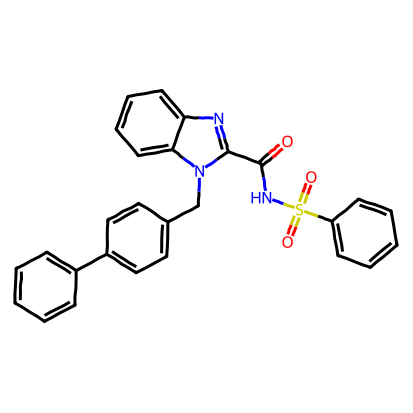 O=C(NS(=O)(=O)c1ccccc1)c1nc2ccccc2n1Cc1ccc(-c2ccccc2)cc1